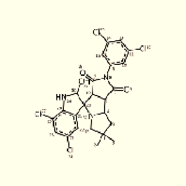 CC1(C)CC2C3C(=O)N(c4cc(Cl)cc(Cl)c4)C(=O)C3C3(c4cc(Cl)cc(Cl)c4NC3O)N2C1